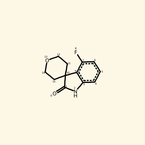 O=C1Nc2cccc(F)c2C12CCOCC2